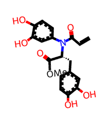 C=CC(=O)N(c1ccc(O)c(O)c1)[C@H](Cc1ccc(O)c(O)c1)C(=O)OC